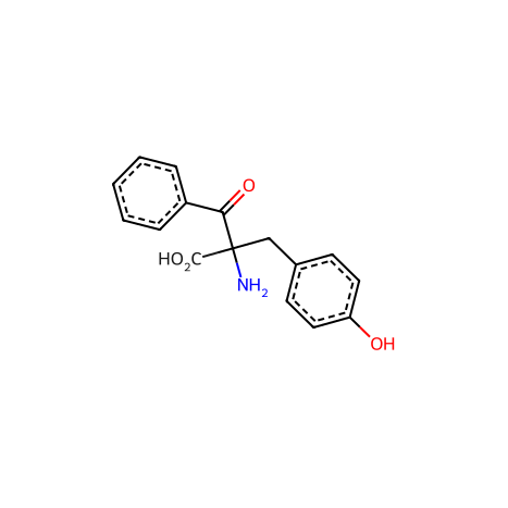 NC(Cc1ccc(O)cc1)(C(=O)O)C(=O)c1ccccc1